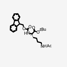 CC(=O)NCCCC[C@H](NC(=O)OCC1c2ccccc2-c2ccccc21)C(=O)OC(C)(C)C